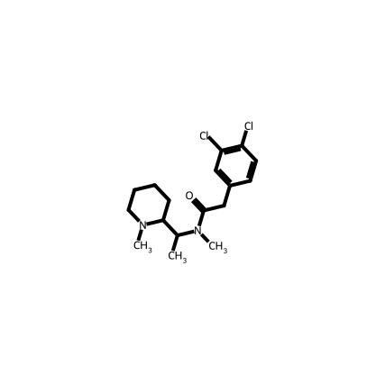 CC(C1CCCCN1C)N(C)C(=O)Cc1ccc(Cl)c(Cl)c1